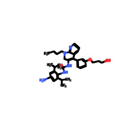 CCCCN1CC(NC(=O)Nc2c(C(C)C)cc(N)cc2C(C)C)=C(c2cccc(OCCCO)c2)c2cccnc21